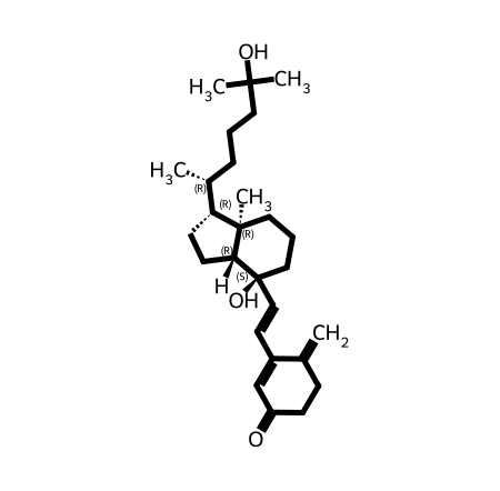 C=C1CCC(=O)C=C1C=C[C@@]1(O)CCC[C@]2(C)[C@@H]([C@H](C)CCCC(C)(C)O)CC[C@H]21